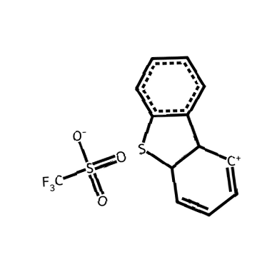 O=S(=O)([O-])C(F)(F)F.[C+]1=CC=CC2Sc3ccccc3C12